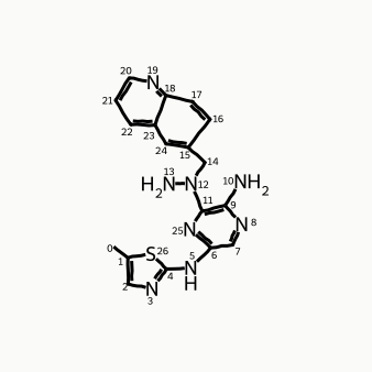 Cc1cnc(Nc2cnc(N)c(N(N)Cc3ccc4ncccc4c3)n2)s1